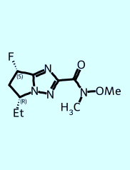 CC[C@@H]1C[C@H](F)c2nc(C(=O)N(C)OC)nn21